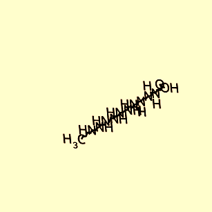 CCCCCNCCNCCNCCNCCNCCNCCNCCNCCNCCNCCC(=O)O